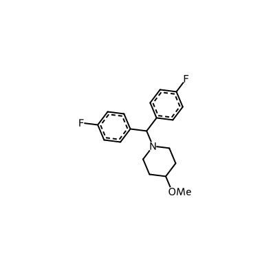 COC1CCN(C(c2ccc(F)cc2)c2ccc(F)cc2)CC1